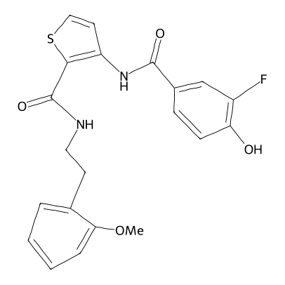 COc1ccccc1CCNC(=O)c1sccc1NC(=O)c1ccc(O)c(F)c1